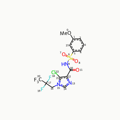 COc1cccc(S(=O)(=O)NC(=O)c2ncn(CC(F)(F)C(F)(F)F)c2Cl)c1